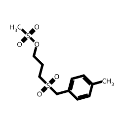 Cc1ccc(CS(=O)(=O)CCCOS(C)(=O)=O)cc1